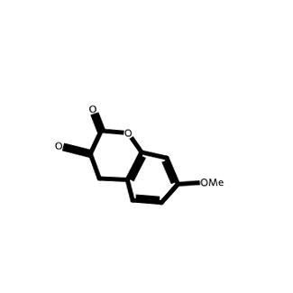 COc1ccc2c(c1)OC(=O)C(=O)C2